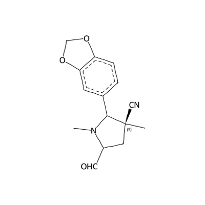 CN1C(C=O)C[C@](C)(C#N)C1c1ccc2c(c1)OCO2